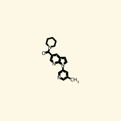 Cc1cncc(-n2ccc3cc(C(=O)N4CCCCC4)cnc32)c1